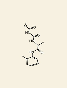 COC(=O)NC(=O)NC(C)C(=O)Nc1ccccc1C